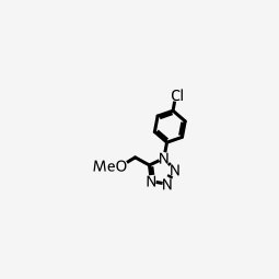 COCc1nnnn1-c1ccc(Cl)cc1